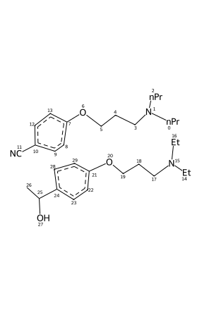 CCCN(CCC)CCCOc1ccc(C#N)cc1.CCN(CC)CCCOc1ccc(C(C)O)cc1